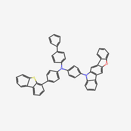 c1ccc(-c2ccc(N(c3ccc(-c4cccc5c4sc4ccccc45)cc3)c3ccc(-n4c5ccccc5c5cc6oc7ccccc7c6cc54)cc3)cc2)cc1